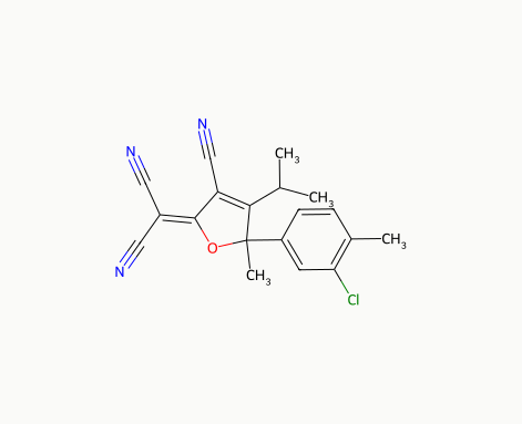 Cc1ccc(C2(C)OC(=C(C#N)C#N)C(C#N)=C2C(C)C)cc1Cl